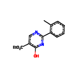 CCOC(=O)c1cnc(-c2ccccc2C)nc1O